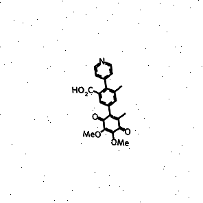 COC1=C(OC)C(=O)C(c2cc(C)c(-c3ccncc3)c(C(=O)O)c2)=C(C)C1=O